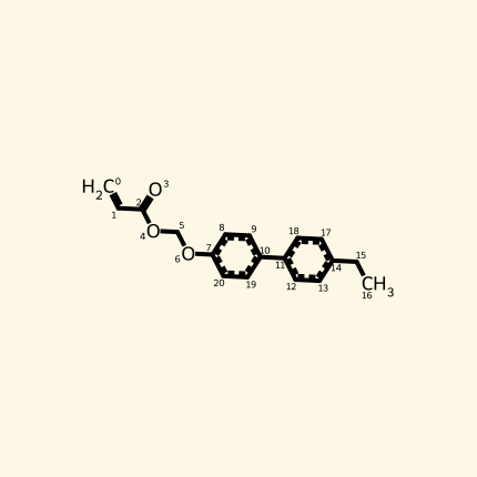 C=CC(=O)OCOc1ccc(-c2ccc(CC)cc2)cc1